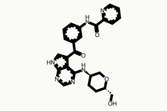 O=C(Nc1cccc(C(=O)c2c[nH]c3ncnc(N[C@@H]4CC[C@@H](CO)OC4)c23)c1)c1ccccn1